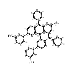 CC(C)c1ccnc(-c2ccc3c(c2)B2c4cc(-c5cc(C(C)C)ccn5)ccc4N(c4ccccc4)c4cc(C(C)(C)C)cc(c42)N3c2ccccc2)c1